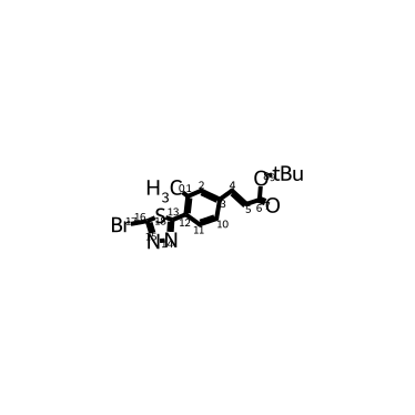 Cc1cc(C=CC(=O)OC(C)(C)C)ccc1-c1nnc(Br)s1